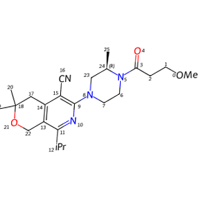 COCCC(=O)N1CCN(c2nc(C(C)C)c3c(c2C#N)CC(C)(C)OC3)C[C@H]1C